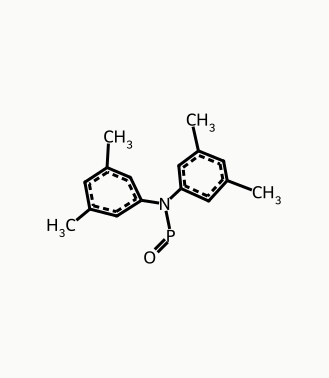 Cc1cc(C)cc(N(P=O)c2cc(C)cc(C)c2)c1